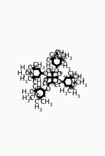 CCC(C(=O)OC1CC(C)(C)N(C)C(C)(C)C1)C(C(=O)OC1CC(C)(C)N(C)C(C)(C)C1)(C(=O)OC1CC(C)(C)N(C)C(C)(C)C1)C(=O)OC1CC(C)(C)N(C)C(C)(C)C1